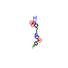 O=C(c1ccc(F)cc1)C1CCN(CCCCc2ccc3[nH]c(=O)oc3c2)CC1